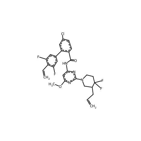 C=CCC1CN(c2nc(NC(=O)c3ccc(Cl)cc3-c3cc(F)c(C=C)c(F)c3)cc(OC)n2)CCC1(F)F